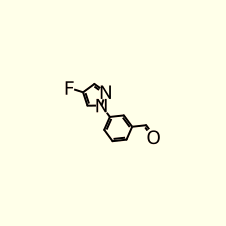 O=Cc1cccc(-n2cc(F)cn2)c1